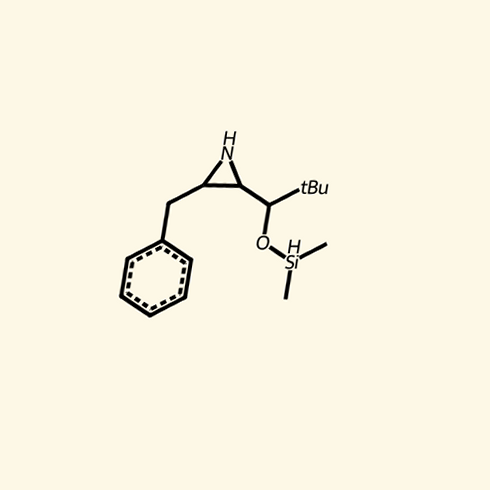 C[SiH](C)OC(C1NC1Cc1ccccc1)C(C)(C)C